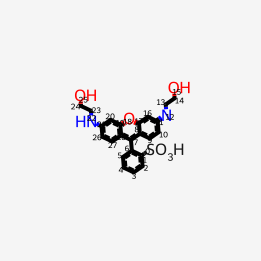 O=S(=O)(O)c1ccccc1-c1c2cc/c(=N/CCO)cc-2oc2cc(NCCO)ccc12